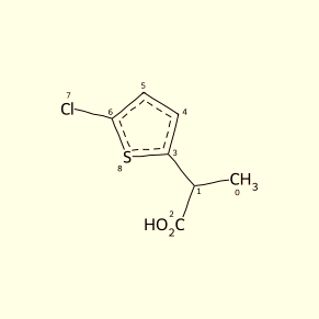 CC(C(=O)O)c1ccc(Cl)s1